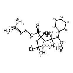 CCC(C)(CC(C)(CC(C)(C)C(OO)C1CCCCC1)C(=O)OCC=C(C)C)C(=O)O